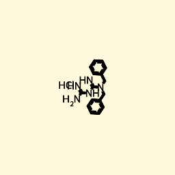 Cl.N=C(N)NC(=N)N(Cc1ccccc1)Cc1ccccc1